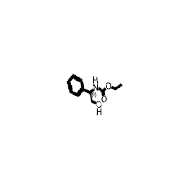 CCOC(=O)N[C@@H](CO)c1ccccc1